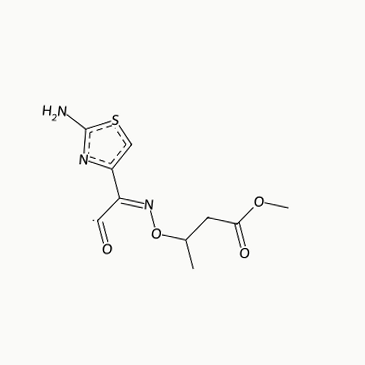 COC(=O)CC(C)ON=C([C]=O)c1csc(N)n1